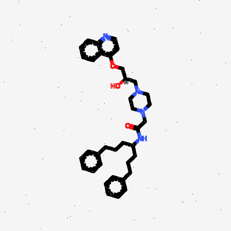 O=C(CN1CCN(C[C@@H](O)COc2ccnc3ccccc23)CC1)NC(CCCc1ccccc1)CCCc1ccccc1